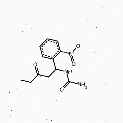 CCC(=O)CC(NC(N)=O)c1ccccc1[N+](=O)[O-]